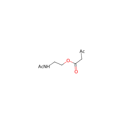 CC(=O)CC(=O)OCCNC(C)=O